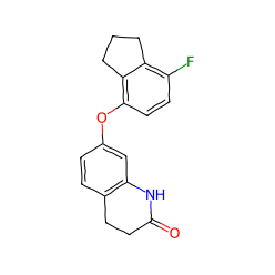 O=C1CCc2ccc(Oc3ccc(F)c4c3CCC4)cc2N1